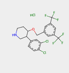 Cl.FC(F)(F)c1cc(COC2CCNCC2c2ccc(Cl)c(Cl)c2)cc(C(F)(F)F)c1